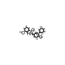 COc1cccc(C(=O)Nc2ccc(=O)n(-c3ccccc3)c2)c1